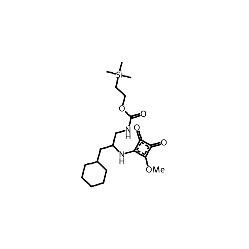 COc1c(NC(CNC(=O)OCC[Si](C)(C)C)CC2CCCCC2)c(=O)c1=O